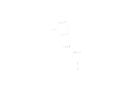 O=C(Cc1cccc(O)c1)c1ccc(CO)o1